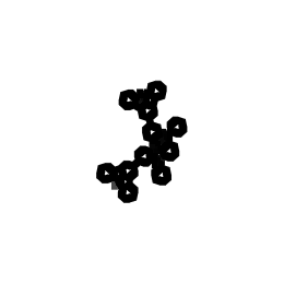 c1ccc(N2c3cc(-c4cc5c6ccccc6n6c7ccccc7c(c4)c56)ccc3B3c4ccc(-c5cc6c7ccccc7n7c8ccccc8c(c5)c67)cc4N(c4ccccc4)c4cccc2c43)cc1